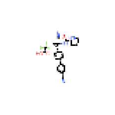 N#Cc1ccc(-c2ccc([C@H]3C[C@@]3(C#N)NC(=O)[C@@H]3CCCCN3)cc2)cc1.O=C(O)C(F)(F)F